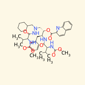 COC(=O)N[C@H](C(=O)N[C@@H](Cc1ccccc1)[C@H](CN(CC1CCCCC1)NC(=O)[C@@H](NC(=O)OC)C(C)C)OC(=O)c1ccc2ccccc2n1)C(C)C